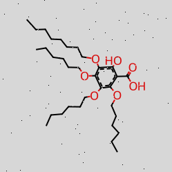 CCCCCCCCOc1c(O)c(C(=O)O)c(OCCCCCC)c(OCCCCCC)c1OCCCCCC